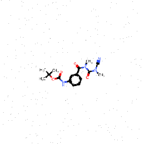 CN(C#N)C(=O)N(C)C(=O)c1cccc(NC(=O)OC(C)(C)C)c1